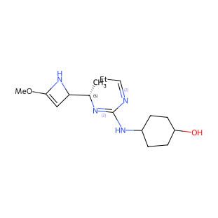 CC/C=N\C(=N/[C@@H](C)C1C=C(OC)N1)NC1CCC(O)CC1